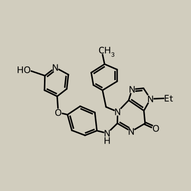 CCn1cnc2c1c(=O)nc(Nc1ccc(Oc3ccnc(O)c3)cc1)n2Cc1ccc(C)cc1